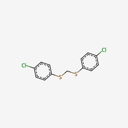 Clc1ccc(SCSc2ccc(Cl)cc2)cc1